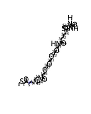 CSCC(=O)/C=C/CN1CCN(C(=O)CCOCCOCCOCCOCCNC(=O)CCCC[C@@H]2SCC3NC(=O)NC32)CC1